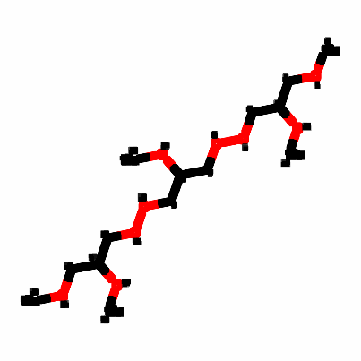 CC(C)(C)OCC(COOCC(COOCC(COC(C)(C)C)OC(C)(C)C)OC(C)(C)C)OC(C)(C)C